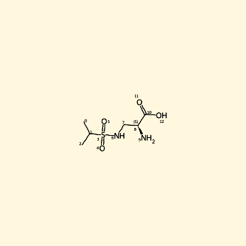 CC(C)S(=O)(=O)NC[C@H](N)C(=O)O